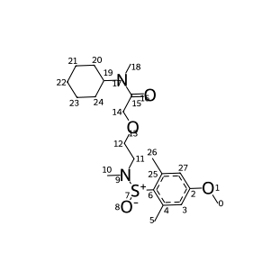 COc1cc(C)c([S+]([O-])N(C)CCOCC(=O)N(C)C2CCCCC2)c(C)c1